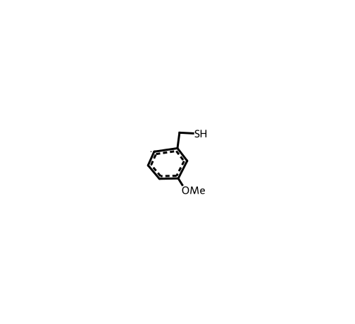 COc1cc[c]c(CS)c1